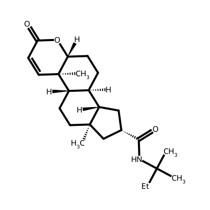 CCC(C)(C)NC(=O)[C@H]1C[C@H]2[C@@H]3CC[C@H]4OC(=O)C=C[C@]4(C)[C@H]3CC[C@]2(C)C1